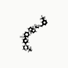 O=C(CNCc1cccc(C(F)(F)F)c1)N1CC[C@H]2[C@@H]1CCN2C1CCC(O)(c2ccc(N3CCO[C@@H](C(F)(F)F)C3)cn2)CC1